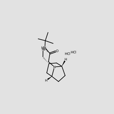 CC(C)(C)NC(=O)CN1[C@@H]2CC[C@H]1C[C@@H](CN)C2.Cl.Cl